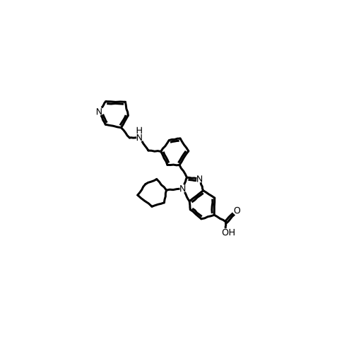 O=C(O)c1ccc2c(c1)nc(-c1cccc(CNCc3cccnc3)c1)n2C1CCCCC1